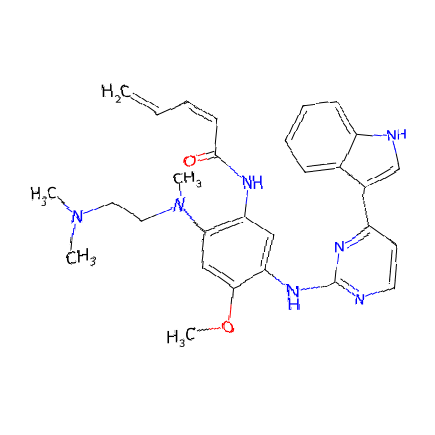 C=C/C=C\C(=O)Nc1cc(Nc2nccc(-c3c[nH]c4ccccc34)n2)c(OC)cc1N(C)CCN(C)C